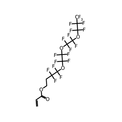 C=CC(=O)OCCC(F)(F)C(F)(F)OC(F)(F)C(F)(F)OC(F)(F)C(F)(F)OC(F)(F)C(F)(F)C(F)(F)F